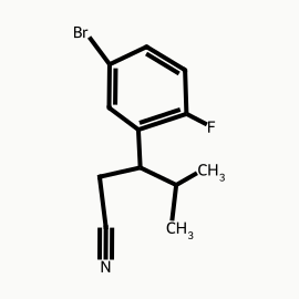 CC(C)C(CC#N)c1cc(Br)ccc1F